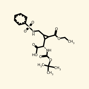 CCOC(=O)C1C(CNS(=O)(=O)c2ccccc2)C1[C@H](NC(=O)OC(C)(C)C)C(=O)O